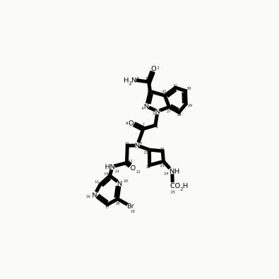 NC(=O)c1nn(CC(=O)N(CC(=O)Nc2cncc(Br)n2)C2CC(NC(=O)O)C2)c2ccccc12